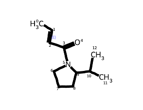 C/C=C/C(=O)N1CCCC1C(C)C